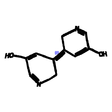 OC1=C/C(=C2/C=C(O)C=NC2)CN=C1